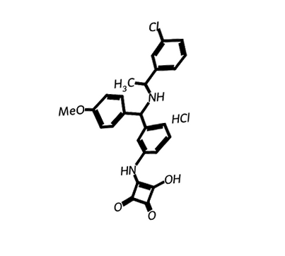 COc1ccc(C(NC(C)c2cccc(Cl)c2)c2cccc(Nc3c(O)c(=O)c3=O)c2)cc1.Cl